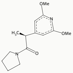 COc1cc([C@H](C)C(=O)N2CCCC2)cc(OC)n1